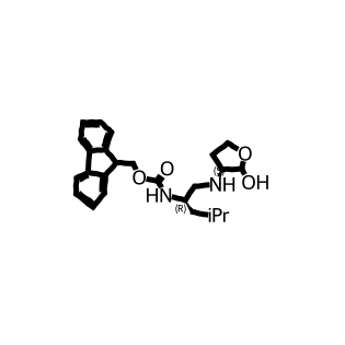 CC(C)C[C@H](CN[C@H]1CCOC1O)NC(=O)OCC1c2ccccc2-c2ccccc21